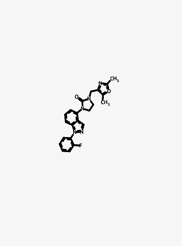 Cc1nc(CN2CCN(c3cccc4c3cnn4-c3ccccc3F)C2=O)c(C)o1